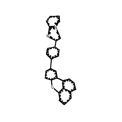 c1cc2c3c(cccc3c1)-c1cc(-c3ccc(-c4cn5ccccc5n4)cc3)ccc1O2